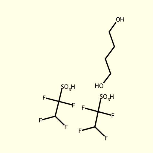 O=S(=O)(O)C(F)(F)C(F)F.O=S(=O)(O)C(F)(F)C(F)F.OCCCCO